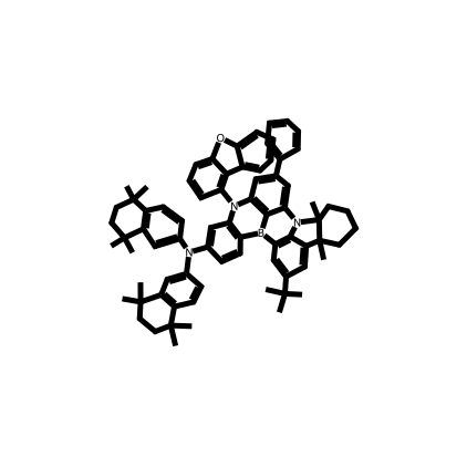 CC(C)(C)c1cc2c3c(c1)C1(C)CCCCC1(C)N3c1cc(-c3ccccc3)cc3c1B2c1ccc(N(c2ccc4c(c2)C(C)(C)CCC4(C)C)c2ccc4c(c2)C(C)(C)CCC4(C)C)cc1N3c1cccc2oc3ccccc3c12